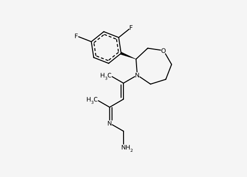 CC(/C=C(\C)N1CCCOC[C@@H]1c1ccc(F)cc1F)=N/CN